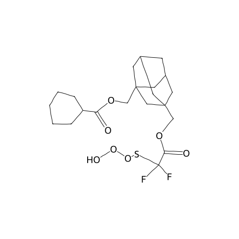 O=C(OCC12CC3CC(C1)CC(COC(=O)C(F)(F)SOOO)(C3)C2)C1CCCCC1